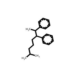 C[C](c1ccccc1)C(CCCC(C)C)c1ccccc1